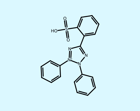 O=S(=O)(O)c1ccccc1-c1nn(-c2ccccc2)[n+](-c2ccccc2)n1